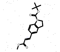 COC(=O)/C=C/c1ccc2c(c1)CCN2C(=O)OC(C)(C)C